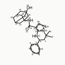 CC1(C)CC(c2ccccc2)Nc2c(C(=O)NC34CC5CC(CC(O)(C5)C3)C4)cnn21